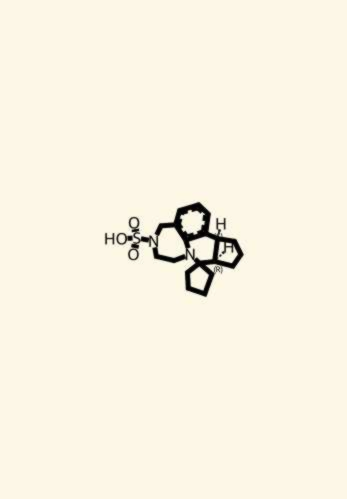 O=S(=O)(O)N1CCN2c3c(cccc3[C@H]3CCC[C@H]3C23CCCC3)C1